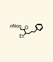 CCCCCCCCCCC(=O)C(CC)CCCc1ccccc1